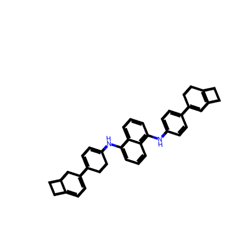 C1=C(Nc2cccc3c(Nc4ccc(C5=CC6=C(CC5)CC6)cc4)cccc23)CCC(C2=CC=C3CCC3C2)=C1